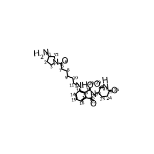 NC1CCN(C(=O)CCCCCNc2cccc3c2C(=O)N(C2CCC(=O)NC2=O)C3=O)C1